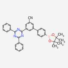 CC1(C)OB(c2ccc(-c3cc(C#N)cc(-c4nc(-c5ccccc5)nc(-c5ccccc5)n4)c3)cc2)OC1(C)C